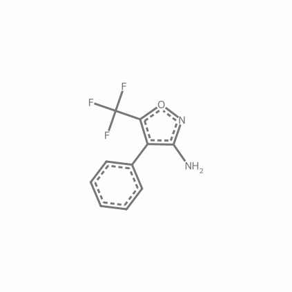 Nc1noc(C(F)(F)F)c1-c1ccccc1